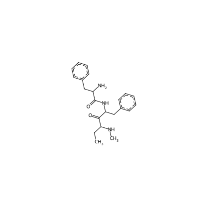 CCC(NC)C(=O)C(Cc1ccccc1)NC(=O)C(N)Cc1ccccc1